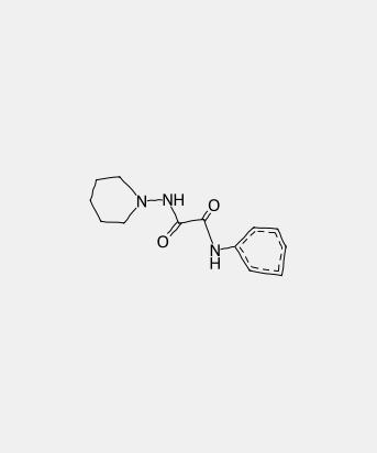 O=C(Nc1ccccc1)C(=O)NN1CCCCC1